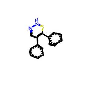 C1=NNSC(c2ccccc2)=C1c1ccccc1